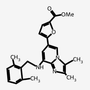 COC(=O)c1ccc(-c2cc(NCc3c(C)cccc3C)c3nc(C)c(C)n3c2)o1